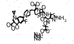 CC(C)(O/N=C(\C(=O)N[C@@H]1C(=O)N2C(C(=O)[O-])=C(CN3CCN(c4cc5c(cc4F)c(=O)c(C(=O)[O-])cn5C4CC4)CC3)CS[C@H]12)c1csc(N)n1)C(=O)[O-].[Na+].[Na+].[Na+]